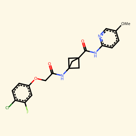 COc1ccc(NC(=O)C23CC(NC(=O)COc4ccc(Cl)c(F)c4)(C2)C3)nc1